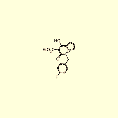 CCOC(=O)c1c(O)c2cccn2n(Cc2ccc(F)cc2)c1=O